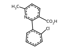 Cc1ccc(C(=O)O)c(-c2ccccc2Cl)n1